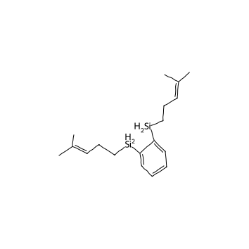 CC(C)=CCC[SiH2]c1ccccc1[SiH2]CCC=C(C)C